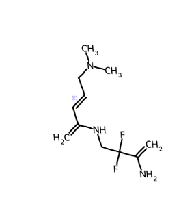 C=C(/C=C/CN(C)C)NCC(F)(F)C(=C)N